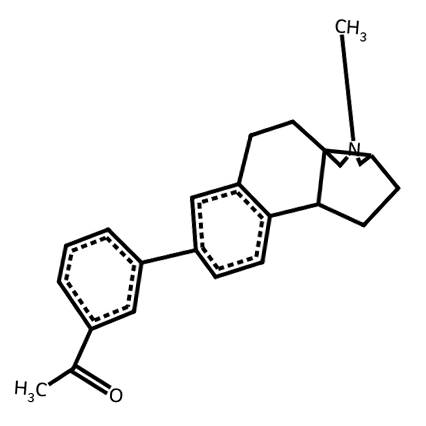 CC(=O)c1cccc(-c2ccc3c(c2)CCC24CN(C)CC2CCC34)c1